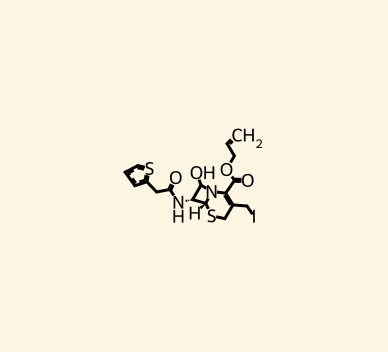 C=CCOC(=O)C1=C(CI)CS[C@@H]2[C@H](NC(=O)Cc3cccs3)C(O)N12